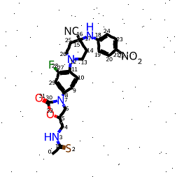 CC(=S)NCC1CN(c2ccc(N3CCC(C#N)(Nc4ccc([N+](=O)[O-])cc4)CC3)c(F)c2)C(=O)O1